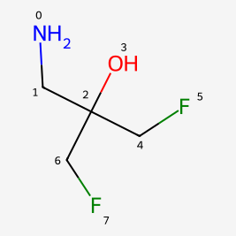 NCC(O)(CF)CF